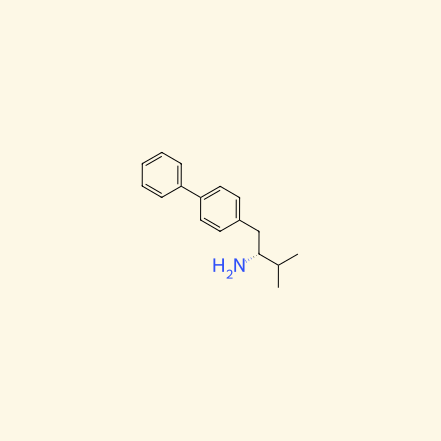 CC(C)[C@H](N)Cc1ccc(-c2ccccc2)cc1